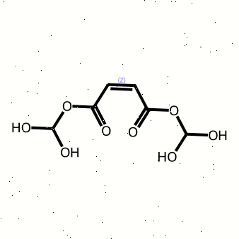 O=C(/C=C\C(=O)OC(O)O)OC(O)O